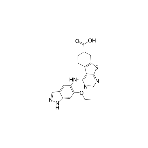 CCOc1cc2[nH]ncc2cc1Nc1ncnc2sc3c(c12)CCC(C(=O)O)C3